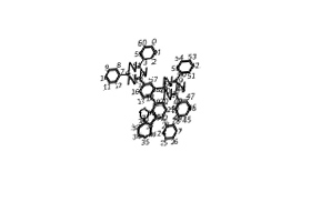 c1ccc(-c2nc(-c3ccccc3)nc(-c3ccc(-c4ccc(-c5ccccc5)c5c4oc4ccccc45)c(-c4nc(-c5ccccc5)nc(-c5ccccc5)n4)c3)n2)cc1